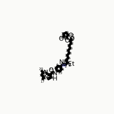 CCC(/C=C(\N)c1ccc(NC(=O)c2ccn3c(C)cc(C)nc23)cc1)CCCCCCCCC(=O)ON1C(=O)CCC1=O